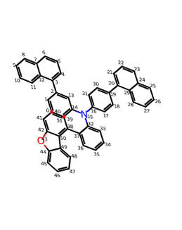 c1cc(-c2cccc3ccccc23)cc(N(c2ccc(-c3cccc4ccccc34)cc2)c2ccccc2-c2cccc3oc4ccccc4c23)c1